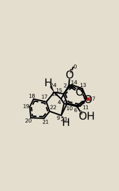 COC(=O)C1C(C(=O)O)[C@H]2c3ccccc3[C@H]1c1ccccc12